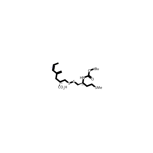 C=C(/C=C\C)C[C@H](CSSC[C@H](CCSC)NC(=O)OC(C)(C)C)C(=O)O